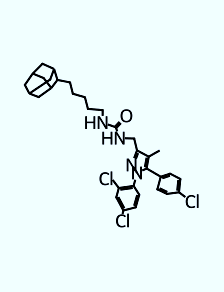 Cc1c(CNC(=O)NCCCCCC2C3CC4CC(C3)CC2C4)nn(-c2ccc(Cl)cc2Cl)c1-c1ccc(Cl)cc1